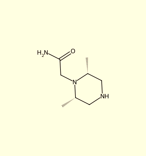 C[C@@H]1CNC[C@H](C)N1CC(N)=O